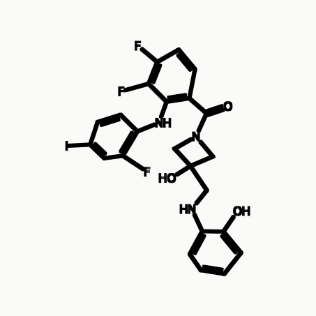 O=C(c1ccc(F)c(F)c1Nc1ccc(I)cc1F)N1CC(O)(CNc2ccccc2O)C1